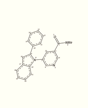 CNC(=O)c1cncc(-n2c(-c3ccccc3)cc3ccccc32)c1